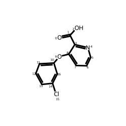 O=C(O)c1ncccc1Oc1cccc(Cl)c1